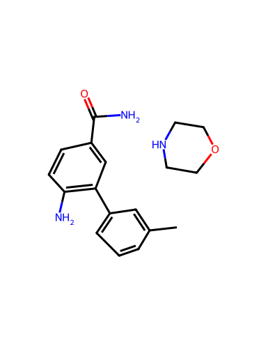 C1COCCN1.Cc1cccc(-c2cc(C(N)=O)ccc2N)c1